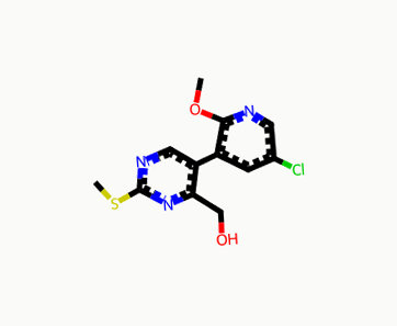 COc1ncc(Cl)cc1-c1cnc(SC)nc1CO